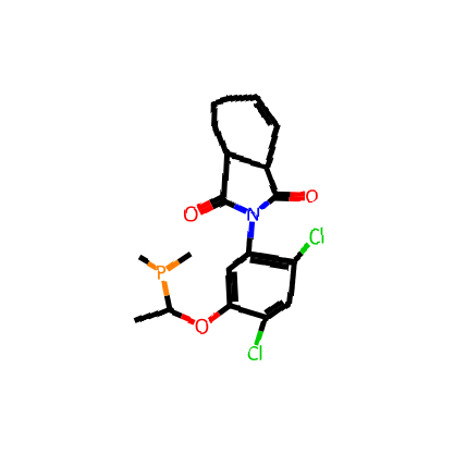 CC(Oc1cc(N2C(=O)C3C=CCCC3C2=O)c(Cl)cc1Cl)P(C)C